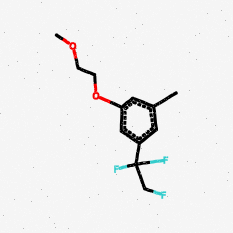 COCCOc1cc(C)cc(C(F)(F)CF)c1